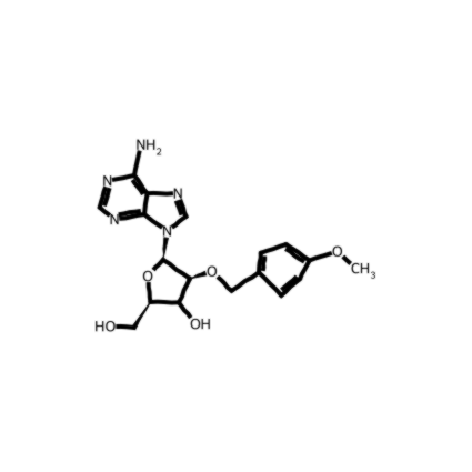 COc1ccc(CO[C@H]2C(O)[C@@H](CO)O[C@H]2n2cnc3c(N)ncnc32)cc1